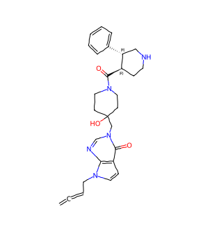 C=C=CCn1ccc2c(=O)n(CC3(O)CCN(C(=O)[C@@H]4CCNC[C@H]4c4ccccc4)CC3)cnc21